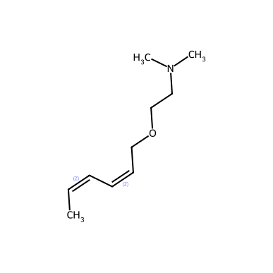 C/C=C\C=C/COCCN(C)C